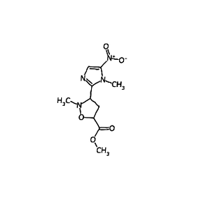 COC(=O)C1CC(c2ncc([N+](=O)[O-])n2C)N(C)O1